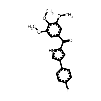 COc1cc(C(=O)c2cc(-c3ccc(F)cc3)c[nH]2)cc(OC)c1OC